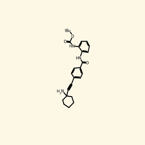 CC(C)(C)OC(=O)Nc1ccccc1NC(=O)c1ccc(C#CC2(N)CCCCC2)cc1